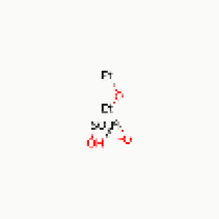 C1CO1.CCOCC.O=S(=O)(O)O